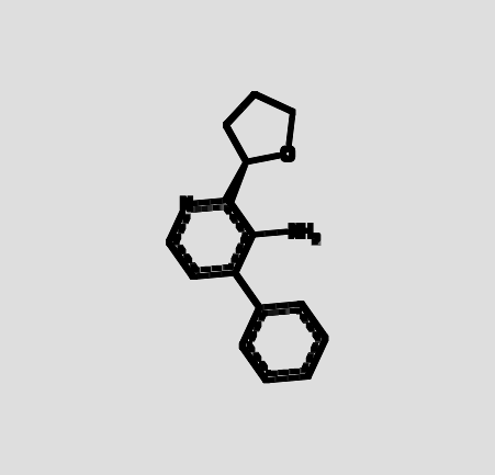 Nc1c(-c2ccccc2)ccnc1[C@H]1CCCO1